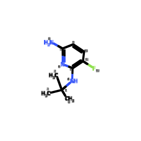 CC(C)(C)Nc1nc(N)ccc1F